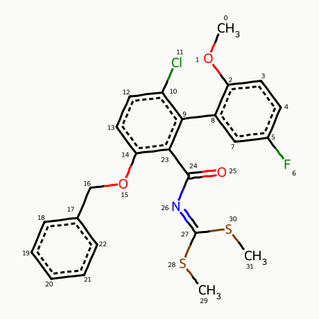 COc1ccc(F)cc1-c1c(Cl)ccc(OCc2ccccc2)c1C(=O)N=C(SC)SC